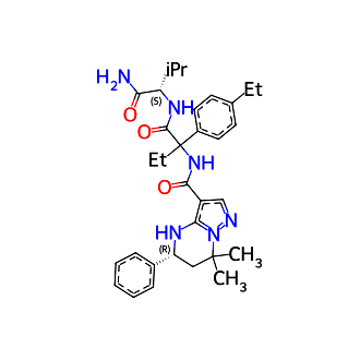 CCc1ccc(C(CC)(NC(=O)c2cnn3c2N[C@@H](c2ccccc2)CC3(C)C)C(=O)N[C@H](C(N)=O)C(C)C)cc1